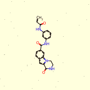 C=CC(=O)Nc1cccc(NC(=O)c2ccc3cc4n(c3c2)CCNC4=O)c1